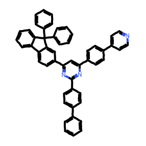 c1ccc(-c2ccc(-c3nc(-c4ccc(-c5ccncc5)cc4)cc(-c4ccc5c(c4)C(c4ccccc4)(c4ccccc4)c4ccccc4-5)n3)cc2)cc1